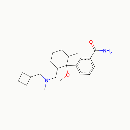 COC1(c2cccc(C(N)=O)c2)C(C)CCCC1CN(C)CC1CCC1